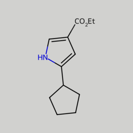 CCOC(=O)c1c[nH]c(C2CCCC2)c1